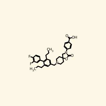 CCCc1cc(CN2CCC3(CC2)CN(c2ccc(C(=O)O)cc2)C(=O)O3)cc(CCC)c1-c1ccc(F)c(F)c1